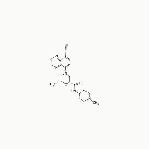 C[C@@H]1CN(c2ccc(C#N)c3nccnc23)C[C@H](C(=O)NC2CCN(C)CC2)O1